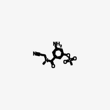 CN(CC#N)C(=O)c1cc(N)cc(OS(C)(=O)=O)c1